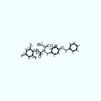 CC(C)(C)N(C(=O)O)[C@@H](Cc1ccc(OCc2ccccc2)cc1)C(=O)Nc1c(F)cc(F)cc1F